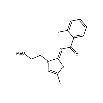 COCCn1cc(C)sc1=NC(=O)c1ccccc1C